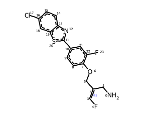 NC/C(=C\F)COc1ccc(-c2nc3ccc(Cl)cc3s2)cc1F